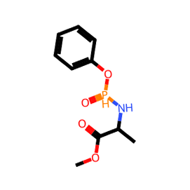 COC(=O)C(C)N[PH](=O)Oc1ccccc1